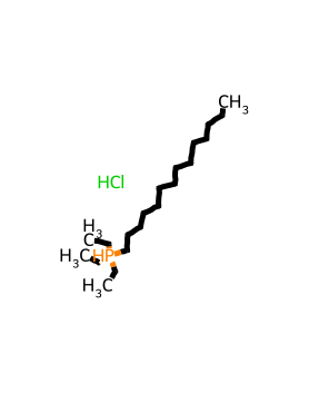 CCCCCCCCCCCCCC[PH](CC)(CC)CC.Cl